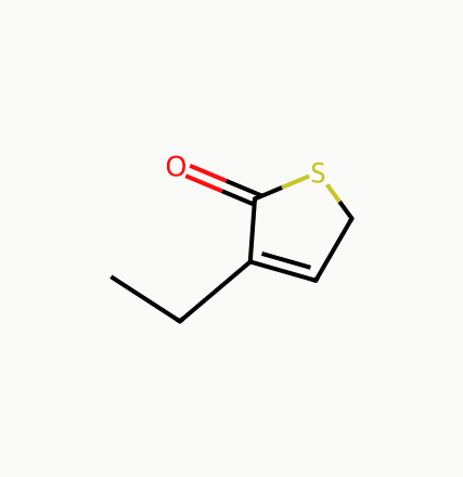 CCC1=CCSC1=O